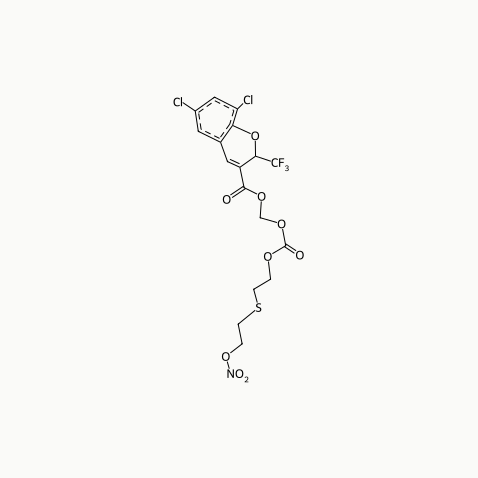 O=C(OCCSCCO[N+](=O)[O-])OCOC(=O)C1=Cc2cc(Cl)cc(Cl)c2OC1C(F)(F)F